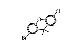 CC1(C)c2ccc(Cl)cc2Oc2ccc(Br)cc21